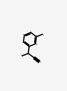 [C]#CC(C)c1cccc(C)c1